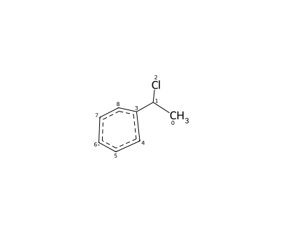 CC(Cl)c1cc[c]cc1